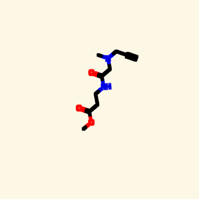 C#CCN(C)CC(=O)NCCC(=O)OC